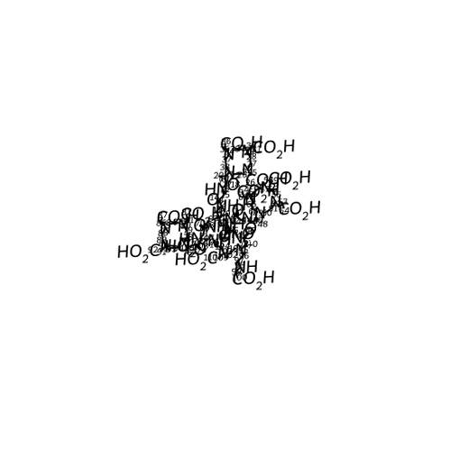 C[C@H](C(=O)NCC(=O)NCC(CNC(=O)CNC(=O)[C@@H](C)N1CCN(CC(=O)O)CCN(CC(=O)O)CCN(CC(=O)O)CC1)(CNC(=O)CNC(=O)[C@@H](C)N1CCN(CC(=O)O)CCN(CC(=O)O)CCN(CC(=O)O)CC1)CNC(=O)CNC(=O)[C@@H](C)N1CCN(CC(=O)O)CCN(CC(=O)O)CCN(CC(=O)O)CC1)N(CCNCC(=O)O)CCN(CCNCC(=O)O)CC(=O)O